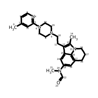 Cc1ccnc(N2CCN(CCc3c(C)n4c5c(cc(N(C)C=O)cc35)CCC4)CC2)c1